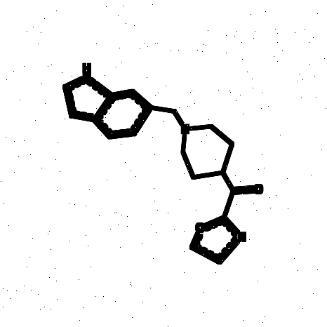 O=C(c1ncco1)C1CCN(Cc2ccc3cc[nH]c3c2)CC1